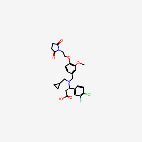 COc1cc(CN(CC2CC2)[C@H](CC(=O)O)c2ccc(Cl)c(F)c2)ccc1OCCN1C(=O)CCC1=O